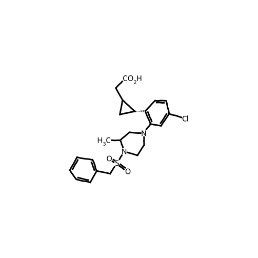 CC1CN(c2cc(Cl)ccc2[C@@H]2CC2CC(=O)O)CCN1S(=O)(=O)Cc1ccccc1